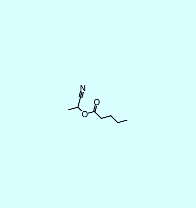 CCCCC(=O)OC(C)C#N